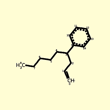 [CH]=CCC(CCCCC)c1ccccc1